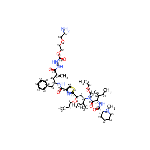 CCCO[C@H](C[C@H](C(C)C)N(COCC)C(=O)[C@@H](NC(=O)[C@H]1CCCCN1C)[C@@H](C)CC)c1nc(C(=O)N[C@@H](Cc2ccccc2)C[C@H](C)C(=O)NNC(=O)OCCOCCN)cs1